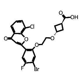 O=c1cc(-c2cc(F)c(Br)cc2OCCO[C@H]2C[C@H](C(=O)O)C2)oc2c(Cl)cccc12